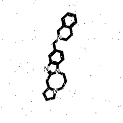 c1ccc2c(c1)CCN(Cc1ccc3c(c1)nc1n3CCCN3CCCC3C1)C2